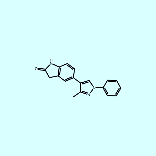 Cc1nn(-c2ccccc2)cc1-c1ccc2c(c1)CC(=O)N2